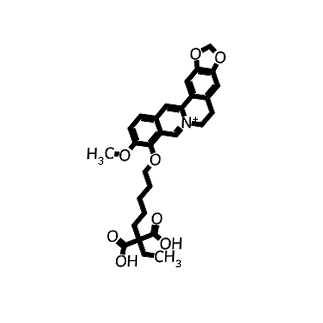 CCC(CCCCCOc1c(OC)ccc2cc3[n+](cc12)CCc1cc2c(cc1-3)OCO2)(C(=O)O)C(=O)O